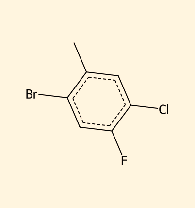 Cc1cc(Cl)c(F)cc1Br